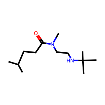 CC(C)CCC(=O)N(C)CCNC(C)(C)C